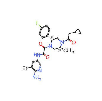 CCc1cc(NC(=O)C(=O)N2C[C@H](C)N(C(=O)CC3CC3)C[C@H]2c2ccc(F)cc2)cnc1N